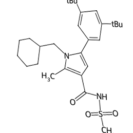 Cc1c(C(=O)NS(C)(=O)=O)cc(-c2cc(C(C)(C)C)cc(C(C)(C)C)c2)n1CC1CCCCC1